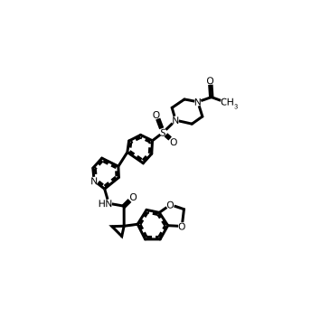 CC(=O)N1CCN(S(=O)(=O)c2ccc(-c3ccnc(NC(=O)C4(c5ccc6c(c5)OCO6)CC4)c3)cc2)CC1